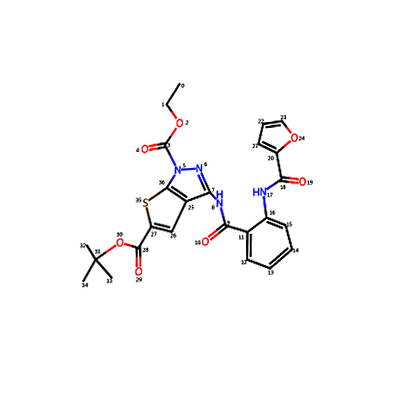 CCOC(=O)n1nc(NC(=O)c2ccccc2NC(=O)c2ccco2)c2cc(C(=O)OC(C)(C)C)sc21